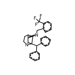 FC(F)(F)c1ccccc1CN=C1C2CCN(CC2)C1C(c1ccccc1)c1ccccc1